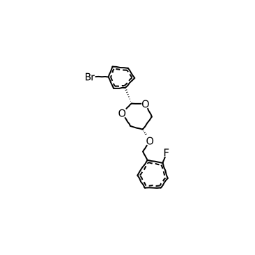 Fc1ccccc1CO[C@H]1CO[C@@H](c2cccc(Br)c2)OC1